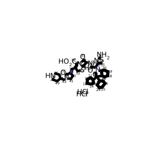 Cl.Cl.Nc1nc(/C(=N/OC(c2ccccc2)(c2ccccc2)c2ccccc2)C(=O)N[C@@H]2C(=O)N3C(C(=O)O)=C(/C=C4\CCN(CC5CCNCC5)C4=O)CS[C@H]23)cs1